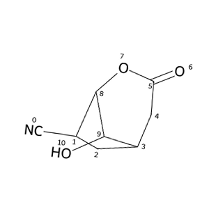 N#CC1CC2CC(=O)OC1C2O